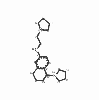 c1cc2c(cc1OCCN1CCCC1)CCCC2N1CCCC1